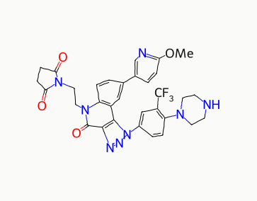 COc1ccc(-c2ccc3c(c2)c2c(nnn2-c2ccc(N4CCNCC4)c(C(F)(F)F)c2)c(=O)n3CCN2C(=O)CCC2=O)cn1